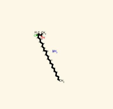 CCCCCCCCCCCCCCCCCCCCCCC(C)(Cl)C(C)O.N